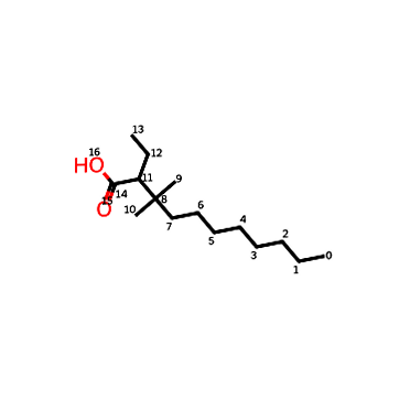 CCCCCCCCC(C)(C)C(CC)C(=O)O